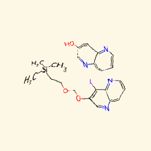 C[Si](C)(C)CCOCOc1cnc2cccnc2c1I.Oc1cnc2cccnc2c1